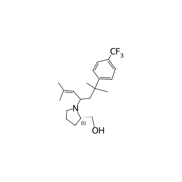 CC(C)=CC(CC(C)(C)c1ccc(C(F)(F)F)cc1)N1CCC[C@H]1CO